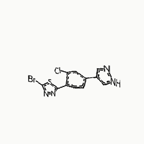 Clc1cc(-c2cn[nH]c2)ccc1-c1nnc(Br)s1